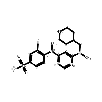 CN(CC1CCNCC1)c1cc(N(C)c2ccc(S(C)(=O)=O)cc2F)ncn1